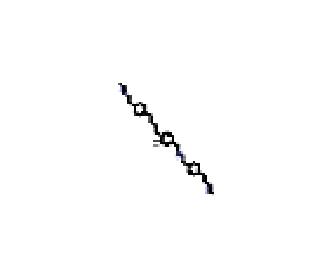 C/C=C/CCc1ccc(C/C=C/Cc2ccc(CCCCc3ccc(CC/C=C/C)cc3)c(F)c2)cc1